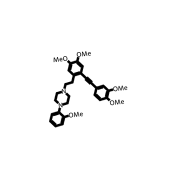 COc1ccc(C#Cc2cc(OC)c(OC)cc2CCN2CCN(c3ccccc3OC)CC2)cc1OC